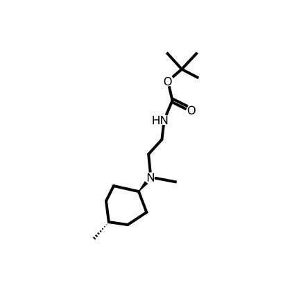 CN(CCNC(=O)OC(C)(C)C)[C@H]1CC[C@H](C)CC1